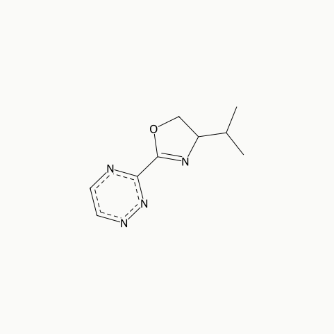 CC(C)C1COC(c2nccnn2)=N1